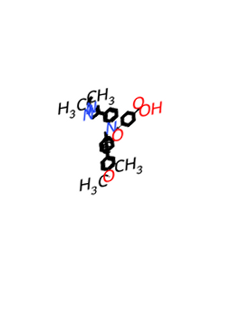 COc1ccc(C23CCC(CN(c4cccc(-c5cnn(C(C)C)c5)c4)C(=O)[C@H]4CC[C@H](C(=O)O)CC4)(CC2)CC3)cc1C